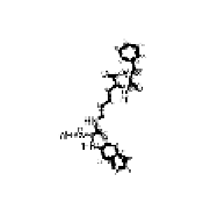 CCCCCCC(=O)C(CCCCNC(=S)N(CCCCCC)Nc1ccc2ccsc2c1)NC(=O)OCc1ccccc1